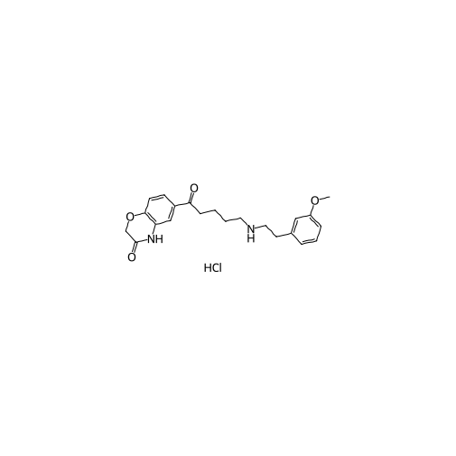 COc1cccc(CCNCCCCC(=O)c2ccc3c(c2)NC(=O)CO3)c1.Cl